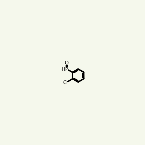 O=[PH]c1ccccc1Cl